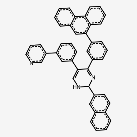 C1=C(c2cccc(-c3cccnc3)c2)C(c2cccc(-c3cc4ccccc4c4ccccc34)c2)=NC(c2ccc3ccccc3c2)N1